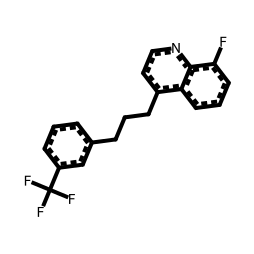 Fc1cccc2c(CCCc3cccc(C(F)(F)F)c3)ccnc12